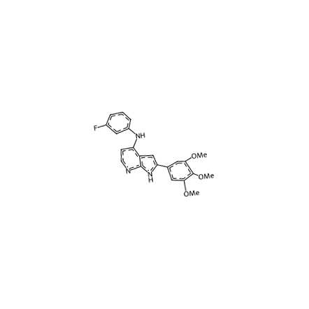 COc1cc(-c2cc3c(Nc4cccc(F)c4)ccnc3[nH]2)cc(OC)c1OC